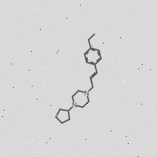 CCc1ccc(/C=C/CN2CCN(C3CCCC3)CC2)cc1